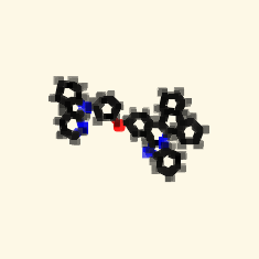 c1cc(Oc2ccc3c(c2)c2nc4ccccc4n2c2c4ccccc4c4ccccc4c32)cc(-n2c3ccccc3c3cccnc32)c1